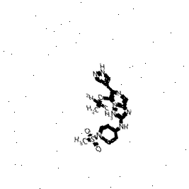 [2H]C(C)(C)Oc1c(-c2cn[nH]c2)ncc2nc(NC3CCN(S(C)(=O)=O)CC3)nn12